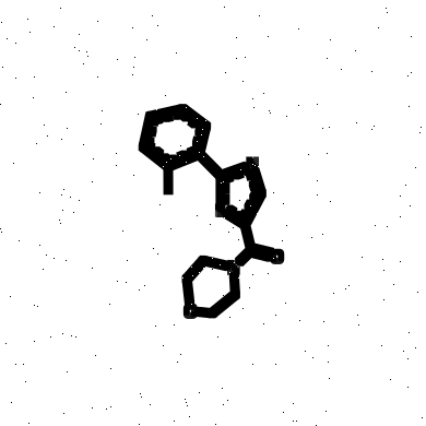 Cc1ccccc1-c1ncc(C(=O)N2CCOCC2)s1